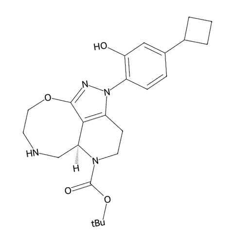 CC(C)(C)OC(=O)N1CCc2c3c(nn2-c2ccc(C4CCC4)cc2O)OCCNC[C@@H]31